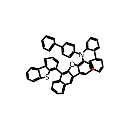 c1ccc(-c2ccc(N(c3ccccc3-c3ccccc3)c3cccc4c3oc3c(-c5cccc6c5sc5ccccc56)c5ccccc5cc34)cc2)cc1